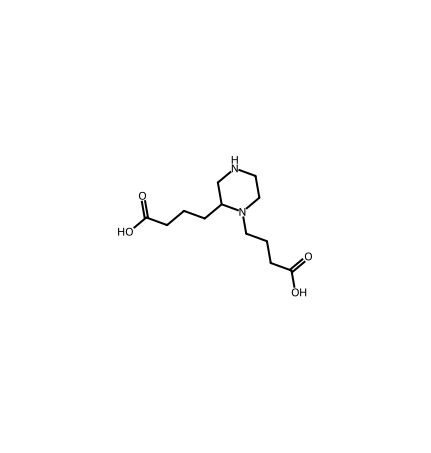 O=C(O)CCCC1CNCCN1CCCC(=O)O